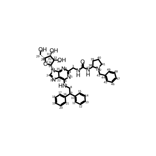 O=C(NCc1nc(NCC(c2ccccc2)c2ccccc2)c2ncn([C@@H]3O[C@H](CO)[C@@H](O)[C@H]3O)c2n1)NC1CCCN1Cc1ccccc1